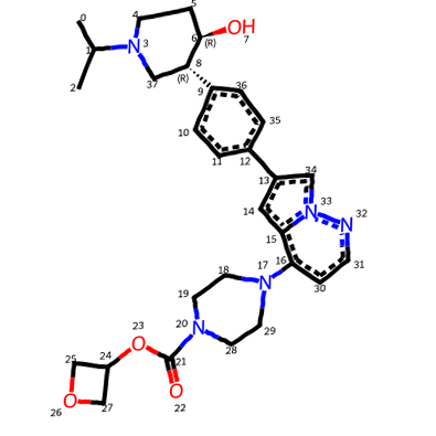 CC(C)N1CC[C@@H](O)[C@H](c2ccc(-c3cc4c(N5CCN(C(=O)OC6COC6)CC5)ccnn4c3)cc2)C1